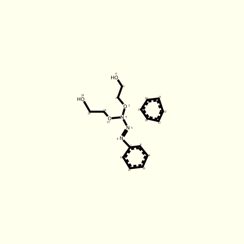 OCCON(N=Nc1ccccc1)OCCO.c1ccccc1